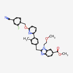 COCCn1c(Cc2ccc(-c3cccc(OCc4ccc(C#N)cc4F)n3)c(C)c2)nc2ccc(C(=O)OC)cc21